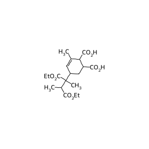 CCOC(=O)C(C)C(C)(C(=O)OCC)C1C=C(C)C(C(=O)O)C(C(=O)O)C1